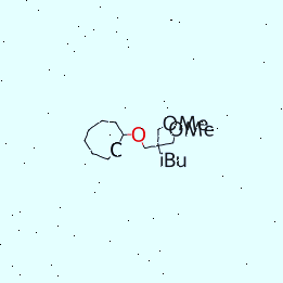 CCC(C)C(COC)(COC)COC1CCCCCCC1